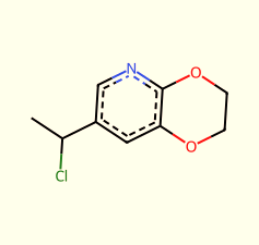 CC(Cl)c1cnc2c(c1)OCCO2